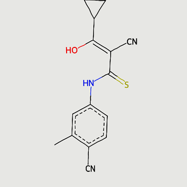 Cc1cc(NC(=S)C(C#N)=C(O)C2CC2)ccc1C#N